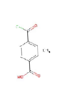 C.O=C(O)c1ccc(C(=O)Cl)cc1